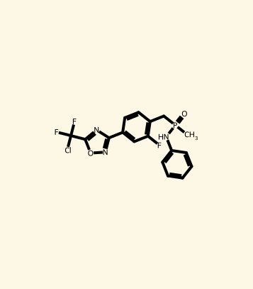 CP(=O)(Cc1ccc(-c2noc(C(F)(F)Cl)n2)cc1F)Nc1ccccc1